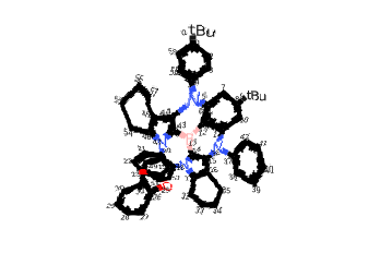 CC(C)(C)c1ccc(N2c3cc(C(C)(C)C)cc4c3B(c3c(c5c(n3C3=C=C=Cc6c3oc3ccccc63)CCCC5)N4c3ccccc3)c3c2c2c(n3C3=CC=CCC3)CCCC2)cc1